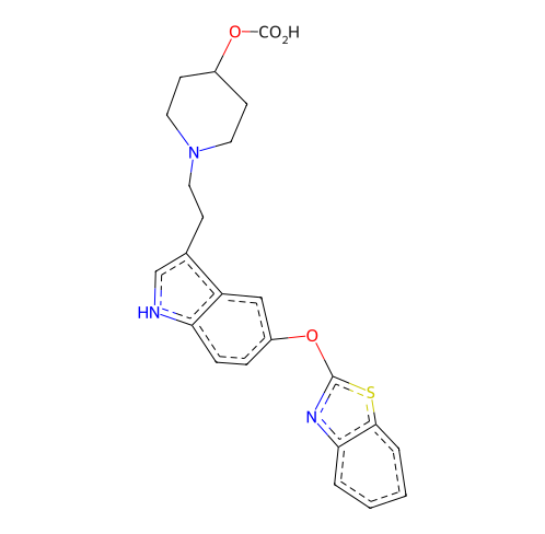 O=C(O)OC1CCN(CCc2c[nH]c3ccc(Oc4nc5ccccc5s4)cc23)CC1